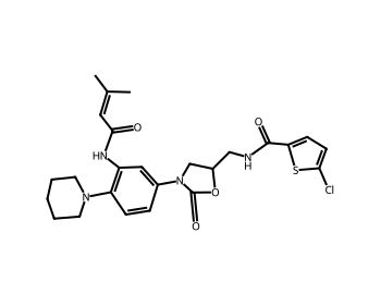 CC(C)=CC(=O)Nc1cc(N2CC(CNC(=O)c3ccc(Cl)s3)OC2=O)ccc1N1CCCCC1